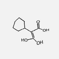 O=C(O)C(=C(O)O)C1CCCCC1